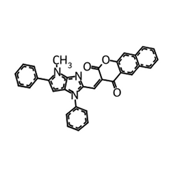 Cn1c(-c2ccccc2)cc2c1nc(/C=C1\C(=O)Oc3cc4ccccc4cc3C1=O)n2-c1ccccc1